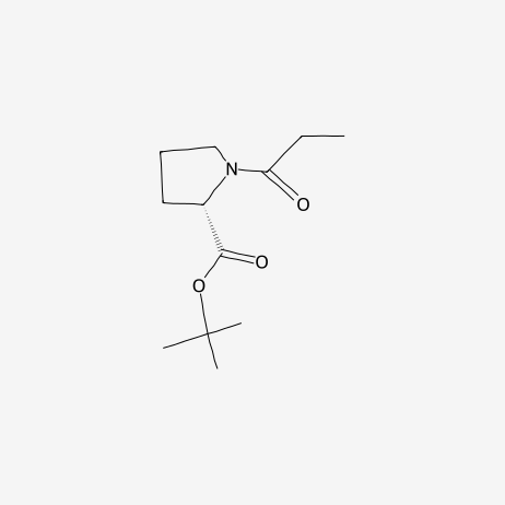 CCC(=O)N1CCC[C@H]1C(=O)OC(C)(C)C